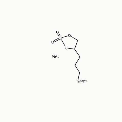 CCCCCCCCCCC1COS(=O)(=O)O1.N